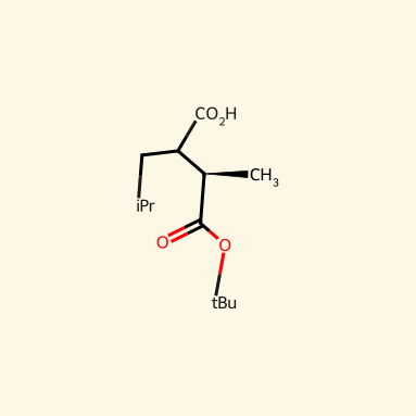 CC(C)CC(C(=O)O)[C@@H](C)C(=O)OC(C)(C)C